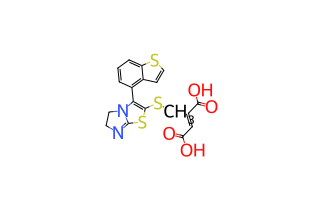 CSC1=C(c2cccc3sccc23)N2CCN=C2S1.O=C(O)C=CC(=O)O